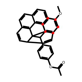 COc1ccc(C(c2ccc(OC(C)=O)cc2)C23c4c5ccc6ccc7ccc(c2c7c46)C=CC3C=C5)cc1